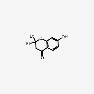 CCC1(CC)CC(=O)c2ccc(O)cc2O1